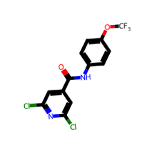 O=C(Nc1ccc(OC(F)(F)F)cc1)c1cc(Cl)nc(Cl)c1